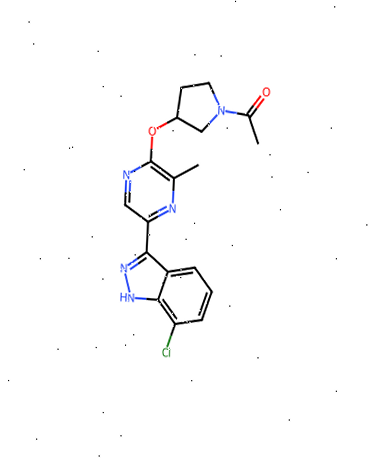 CC(=O)N1CCC(Oc2ncc(-c3n[nH]c4c(Cl)cccc34)nc2C)C1